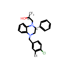 CCc1cc(CN2C[C@@H](c3ccccc3)N(C[C@@H](O)C(F)(F)F)c3ccccc32)ccc1Cl